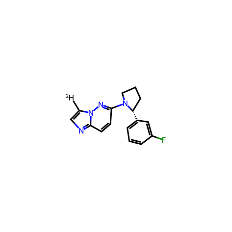 [2H]c1cnc2ccc(N3CCC[C@@H]3c3cccc(F)c3)nn12